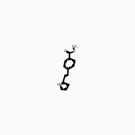 COC(=O)c1ccc(/C=C/c2ccc[nH]2)cc1